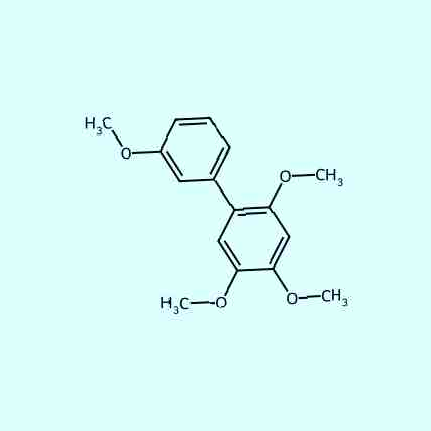 COc1cccc(-c2cc(OC)c(OC)cc2OC)c1